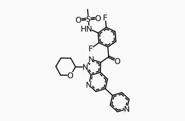 CS(=O)(=O)Nc1c(F)ccc(C(=O)c2nn(C3CCCCO3)c3ncc(-c4ccncc4)cc23)c1F